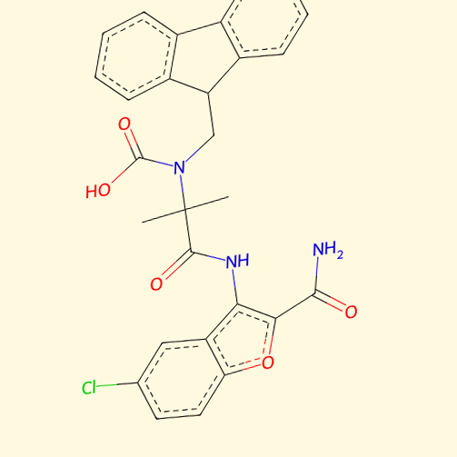 CC(C)(C(=O)Nc1c(C(N)=O)oc2ccc(Cl)cc12)N(CC1c2ccccc2-c2ccccc21)C(=O)O